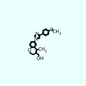 COc1ccc(-c2cn(-c3ccc4c(c3)C(C)=C(CO)CCO4)cn2)cc1